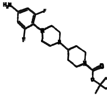 CC(C)(C)OC(=O)N1CCC(N2CCN(c3c(F)cc(N)cc3F)CC2)CC1